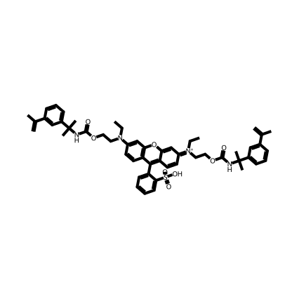 C=C(C)c1cccc(C(C)(C)NC(=O)OCCN(CC)c2ccc3c(-c4ccccc4S(=O)(=O)O)c4cc/c(=[N+](/CC)CCOC(=O)NC(C)(C)c5cccc(C(=C)C)c5)cc-4oc3c2)c1